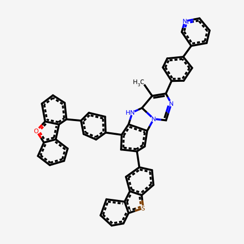 CC1=C(c2ccc(-c3cccnc3)cc2)N=CN2c3cc(-c4ccc5sc6ccccc6c5c4)cc(-c4ccc(-c5cccc6oc7ccccc7c56)cc4)c3NC12